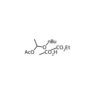 CC(=O)O.CCCCOC(C)OC(C)=O.CCOC(C)=O